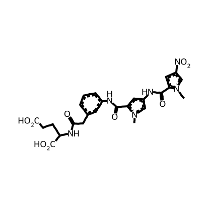 Cn1cc(NC(=O)c2cc([N+](=O)[O-])cn2C)cc1C(=O)Nc1cccc(CC(=O)NC(CCC(=O)O)C(=O)O)c1